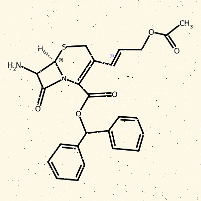 CC(=O)OC/C=C/C1=C(C(=O)OC(c2ccccc2)c2ccccc2)N2C(=O)C(N)[C@H]2SC1